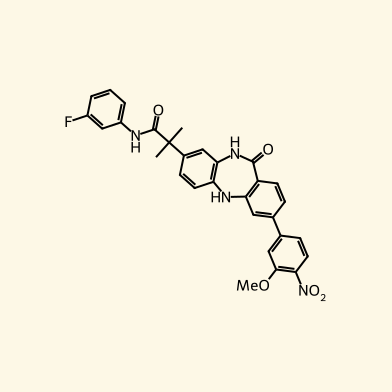 COc1cc(-c2ccc3c(c2)Nc2ccc(C(C)(C)C(=O)Nc4cccc(F)c4)cc2NC3=O)ccc1[N+](=O)[O-]